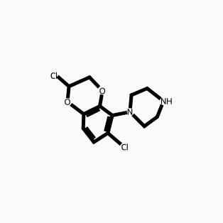 Clc1ccc2c(c1N1CCNCC1)OCC(Cl)O2